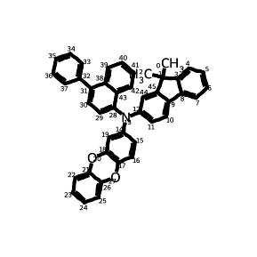 CC1(C)c2ccccc2-c2ccc(N(c3ccc4c(c3)Oc3ccccc3O4)c3ccc(-c4ccccc4)c4ccccc34)cc21